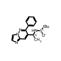 C[C@H](N[S+]([O-])C(C)(C)C)c1cc2nccn2nc1-c1ccccc1